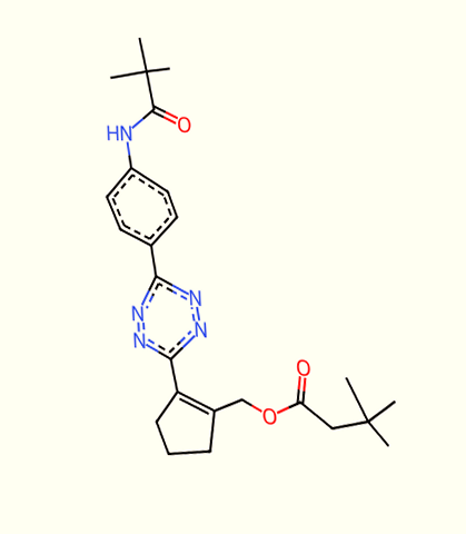 CC(C)(C)CC(=O)OCC1=C(c2nnc(-c3ccc(NC(=O)C(C)(C)C)cc3)nn2)CCC1